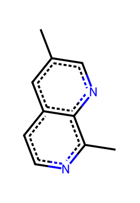 Cc1cnc2c(C)nccc2c1